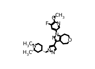 COc1ncc(-n2nc(-c3cnn(C[C@H]4CCN(C)[C@@H](C)C4)c3)c3c2CCOCC3)cc1F